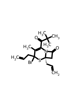 C=CCC1(Br)S[C@]2(CC=C)CC(=O)N2C(C(=O)C(C)(C)C)=C1C